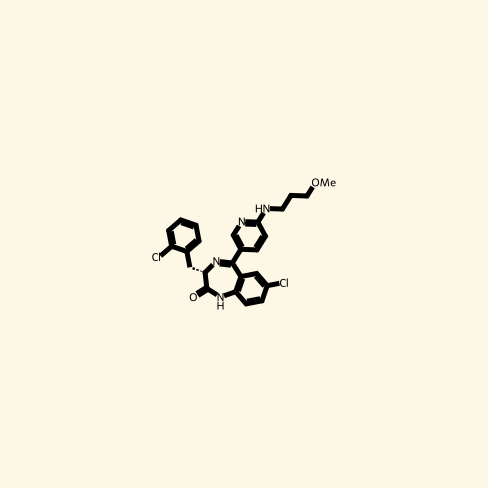 COCCCNc1ccc(C2=N[C@@H](Cc3ccccc3Cl)C(=O)Nc3ccc(Cl)cc32)cn1